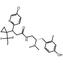 Cc1cc(O)ccc1C[C@@H](CNC(=O)CC(c1ccc(Cl)cn1)C1(C(F)(F)F)CC1)N(C)C